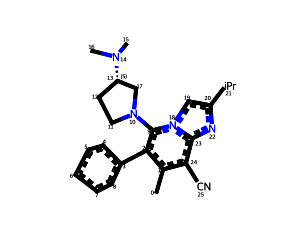 Cc1c(-c2ccccc2)c(N2CC[C@H](N(C)C)C2)n2cc(C(C)C)nc2c1C#N